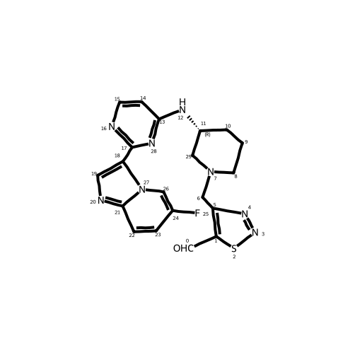 O=Cc1snnc1CN1CCC[C@@H](Nc2ccnc(-c3cnc4ccc(F)cn34)n2)C1